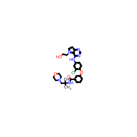 CC(C)(CN1CCOCC1)NC(=O)c1cccc(Oc2ccc(Nc3ncnc4ccn(CCO)c34)cc2Cl)c1